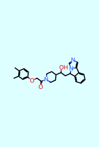 Cc1ccc(OCC(=O)N2CCC(C(O)CC3c4ccccc4-c4cncn43)CC2)cc1C